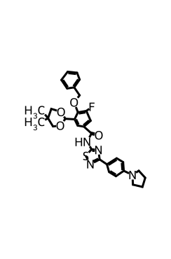 CC1(C)COC(c2cc(C(=O)Nc3nc(-c4ccc(N5CCCC5)cc4)ns3)cc(F)c2OCc2ccccc2)OC1